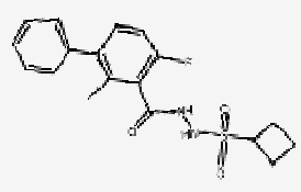 Cc1c(-c2ccccc2)ccc(F)c1C(=O)NNS(=O)(=O)C1CCC1